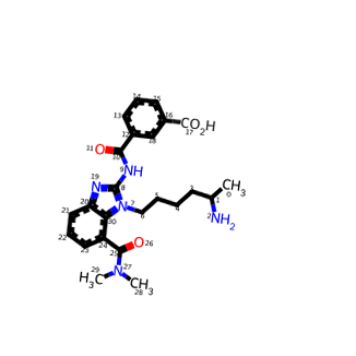 CC(N)CCCCn1c(NC(=O)c2cccc(C(=O)O)c2)nc2cccc(C(=O)N(C)C)c21